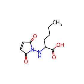 CCCCC(NN1C(=O)C=CC1=O)C(=O)O